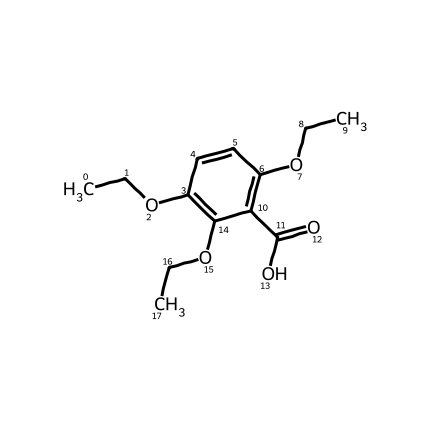 CCOc1ccc(OCC)c(C(=O)O)c1OCC